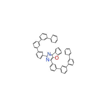 c1ccc(-c2cccc(-c3cccc(-c4cccc(-c5nc(-c6cccc(-c7cccc(-c8cccc(-c9ccccc9)c8)c7)c6)c6oc7ccccc7c6n5)c4)c3)c2)cc1